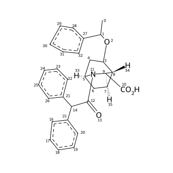 CC(OC1C[C@@H]2CC[C@@H]1[C@@H](C(=O)O)N2C(=O)C(c1ccccc1)c1ccccc1)c1ccccc1